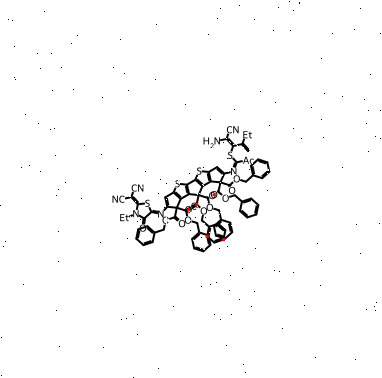 C=C(CC)/C(S/C(=N\C1=Cc2sc3c(c2C1(C(=O)OCc1ccccc1)C(=O)OCc1ccccc1)C(C(=O)OCc1ccccc1)(C(=O)OCc1ccccc1)c1c-3sc2c1C(C(=O)OCc1ccccc1)(C(=O)OCc1ccccc1)C(/N=C1\SC(=C(C#N)C#N)N(CC)C1=O)=C2)C(C)=O)=C(/N)C#N